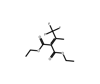 CCOC(=O)C(C(=O)OCC)=C(C)C(F)(F)F